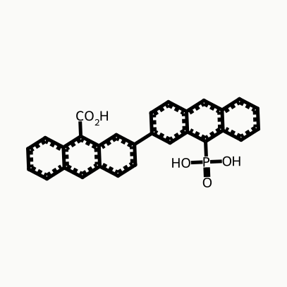 O=C(O)c1c2ccccc2cc2ccc(-c3ccc4cc5ccccc5c(P(=O)(O)O)c4c3)cc12